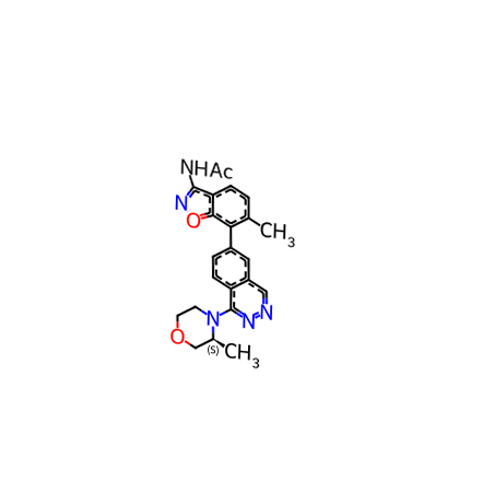 CC(=O)Nc1noc2c(-c3ccc4c(N5CCOC[C@@H]5C)nncc4c3)c(C)ccc12